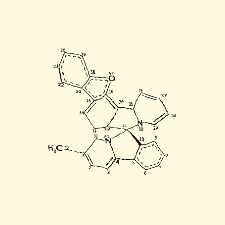 CC1=CC=C2c3ccccc3[C@]3(C4CC=c5c(oc6ccccc56)=C4C4C=CC=CN43)N2C1